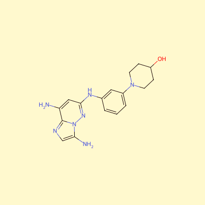 Nc1cc(Nc2cccc(N3CCC(O)CC3)c2)nn2c(N)cnc12